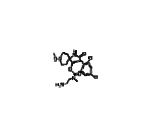 CON1CCC2(CC1)NC(=O)C(c1ccc(Cl)cc1Cl)=C2OC(=O)N(C)CCN